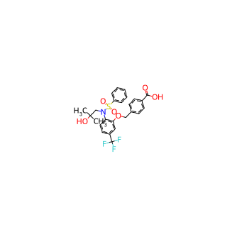 CC(C)(O)CN(c1ccc(C(F)(F)F)cc1OCc1ccc(C(=O)O)cc1)S(=O)(=O)c1ccccc1